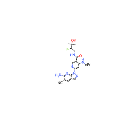 CCCNc1cc(-n2ncc3cc(C#N)c(N)nc32)ncc1C(=O)NCC(F)C(C)(C)O